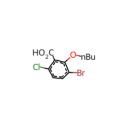 CCCCOc1c(Br)ccc(Cl)c1C(=O)O